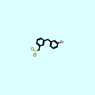 O=[SH](=O)Cc1cccc(Cc2cccc(Br)c2)c1